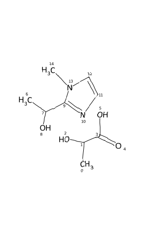 CC(O)C(=O)O.CC(O)c1nccn1C